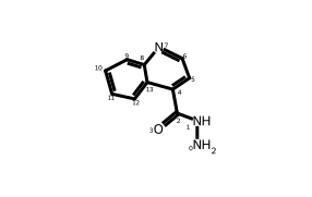 NNC(=O)c1ccnc2ccccc12